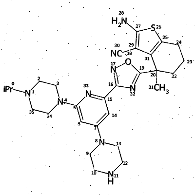 CC(C)N1CCN(c2cc(N3CCNCC3)cc(-c3noc(C4(C)CCCc5sc(N)c(C#N)c54)n3)n2)CC1